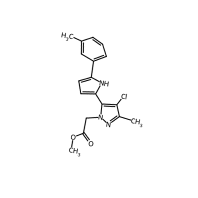 COC(=O)Cn1nc(C)c(Cl)c1-c1ccc(-c2cccc(C)c2)[nH]1